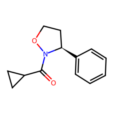 O=C(C1CC1)N1OCC[C@H]1c1ccccc1